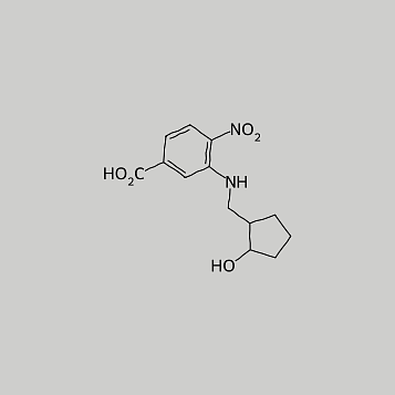 O=C(O)c1ccc([N+](=O)[O-])c(NCC2CCCC2O)c1